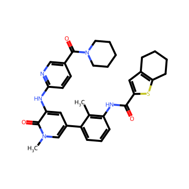 Cc1c(NC(=O)c2cc3c(s2)CCCC3)cccc1-c1cc(Nc2ccc(C(=O)N3CCCCC3)cn2)c(=O)n(C)c1